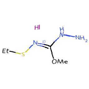 CCS/N=C(/NN)OC.I